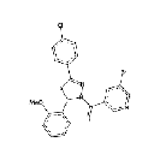 COc1ccccc1C1SC(c2ccc(Cl)cc2)=NN1C(=O)c1cncc(Br)c1